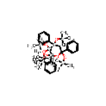 C[Si](C)(C)OC1(c2ccccc2)C[Si](O[Si](C)(C)C)(c2ccccc2)[Si](O[Si](C)(C)C)(O[Si](C)(C)C)[Si](O[Si](C)(C)C)(c2ccccc2)O1